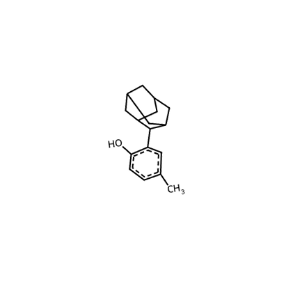 Cc1ccc(O)c(C2C3CC4CC(C3)CC2C4)c1